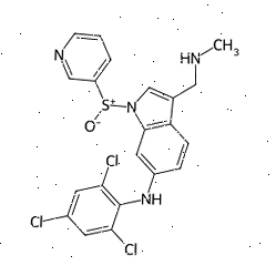 CNCc1cn([S+]([O-])c2cccnc2)c2cc(Nc3c(Cl)cc(Cl)cc3Cl)ccc12